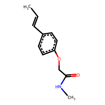 [CH2]C=Cc1ccc(OCC(=O)NC)cc1